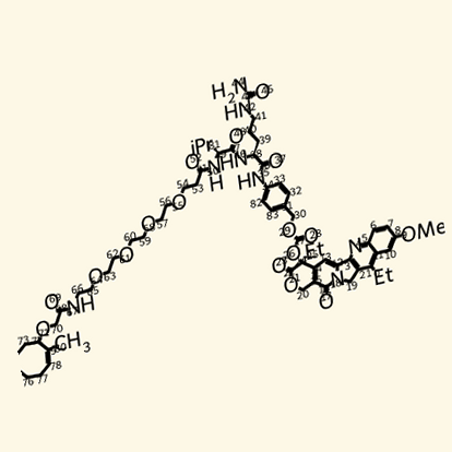 CCc1c2c(nc3ccc(OC)cc13)-c1cc3c(c(=O)n1C2)COC(=O)[C@@]3(CC)OC(=O)OCc1ccc(NC(=O)[C@H](CCCNC(N)=O)NC(=O)[C@@H](NC(=O)CCOCCOCCOCCOCCNC(=O)COC2CCCCC/C=C\2C)C(C)C)cc1